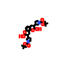 CC(C)(C)OC(=O)N1CC[C@H]([C@H](Cc2cccc(C[C@H](C(=O)O)[C@H]3CCN(C(=O)OC(C)(C)C)C3)c2)C(=O)O)C1